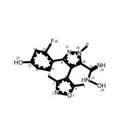 Cc1noc(C)c1-c1c(-c2ccc(O)cc2F)nn(C)c1C(=N)NO